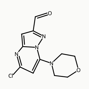 O=Cc1cc2nc(Cl)cc(N3CCOCC3)n2n1